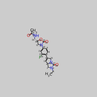 CCN1CC2C=C(c3ccc(N4C[C@H](CNC(C)=O)OC4=O)cc3F)CN2C1=O